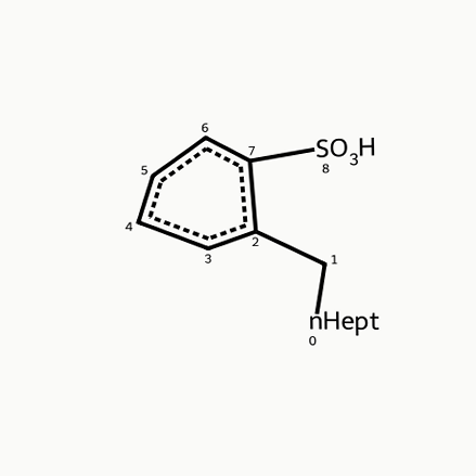 CCCCCCCCc1ccccc1S(=O)(=O)O